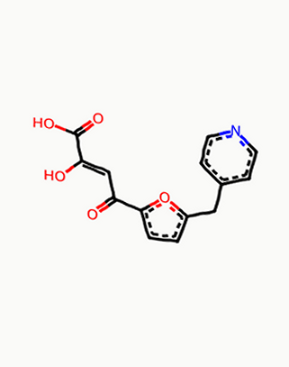 O=C(O)C(O)=CC(=O)c1ccc(Cc2ccncc2)o1